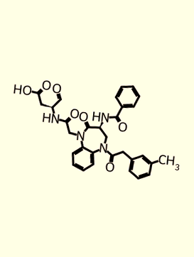 Cc1cccc(CC(=O)N2C[C@H](NC(=O)c3ccccc3)C(=O)N(CC(=O)N[C@H](C=O)CC(=O)O)c3ccccc32)c1